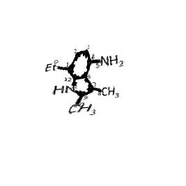 CCc1ccc(N)c2c(C)c(C)[nH]c12